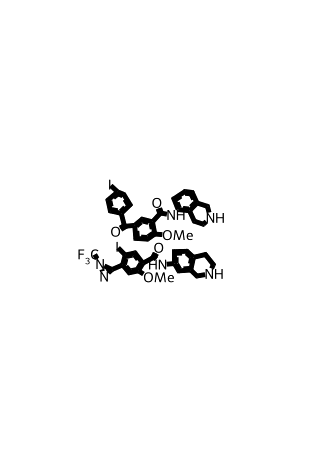 COc1cc(C2=NN2C(F)(F)F)c(I)cc1C(=O)Nc1ccc2c(c1)CNCC2.COc1ccc(C(=O)c2ccc(I)cc2)cc1C(=O)Nc1cccc2c1CCNC2